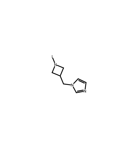 IN1CC(Cn2ccnc2)C1